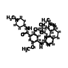 COc1cc(C(=O)NC2CCN(C)CC2)c(C)cc1Nc1ncc2c(n1)-c1c(nn(C)c1C(C)C)CC2